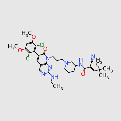 CCNc1ncc2cc(-c3c(Cl)c(OC)cc(OC)c3Cl)c(=O)n(CCCN3CCCC(NC(=O)C(C#N)=CC(C)(C)C)C3)c2n1